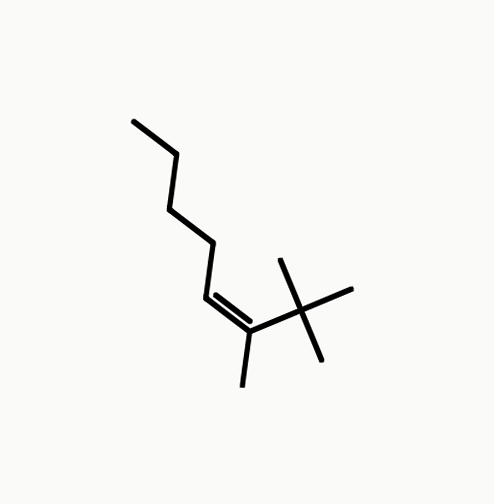 CCCCC=C(C)C(C)(C)C